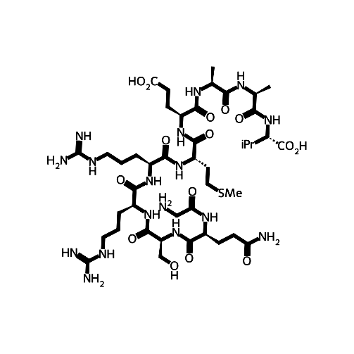 CSCC[C@H](NC(=O)[C@H](CCCNC(=N)N)NC(=O)[C@H](CCCNC(=N)N)NC(=O)[C@H](CO)NC(=O)[C@H](CCC(N)=O)NC(=O)CN)C(=O)N[C@@H](CCC(=O)O)C(=O)N[C@@H](C)C(=O)N[C@@H](C)C(=O)N[C@H](C(=O)O)C(C)C